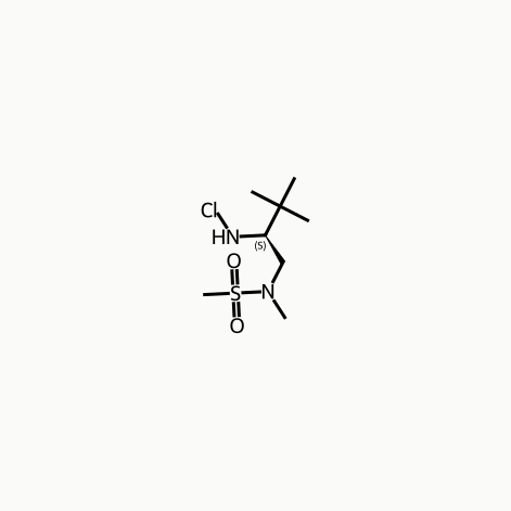 CN(C[C@@H](NCl)C(C)(C)C)S(C)(=O)=O